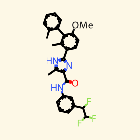 COc1ccc(-c2nc(C(=O)Nc3cccc(C(F)C(F)F)c3)c(C)[nH]2)c(C)c1-c1ccccc1C